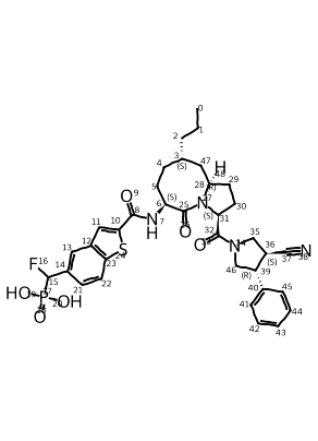 CCC[C@H]1CC[C@H](NC(=O)c2cc3cc(C(F)P(=O)(O)O)ccc3s2)C(=O)N2[C@H](CC[C@H]2C(=O)N2C[C@@H](C#N)[C@H](c3ccccc3)C2)C1